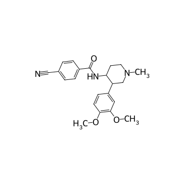 COc1ccc(C2CN(C)CCC2NC(=O)c2ccc(C#N)cc2)cc1OC